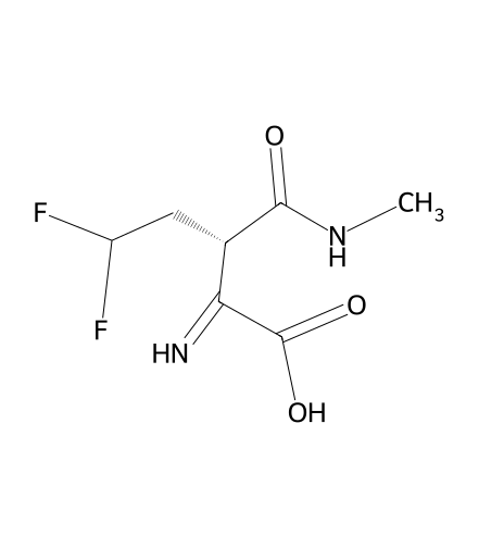 CNC(=O)[C@@H](CC(F)F)C(=N)C(=O)O